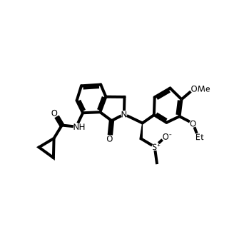 CCOc1cc([C@@H](C[S+](C)[O-])N2Cc3cccc(NC(=O)C4CC4)c3C2=O)ccc1OC